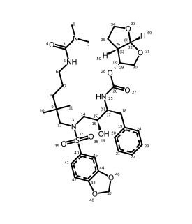 CN(C)C(=O)NCCCC(C)(C)CN(C[C@H](O)[C@H](Cc1ccccc1)NC(=O)O[C@H]1CO[C@H]2OCC[C@H]21)S(=O)(=O)c1ccc2c(c1)OCO2